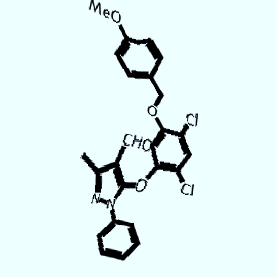 COc1ccc(COc2cc(Oc3c(C=O)c(C)nn3-c3ccccc3)c(Cl)cc2Cl)cc1